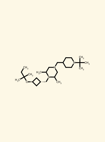 CCC(C)(C)O[C@H]1C[C@H](CN2C(C)CN(CC3CCN(C(C)(C)C)CC3)CC2C)C1